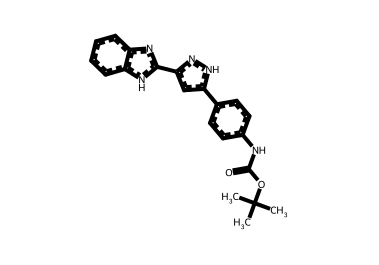 CC(C)(C)OC(=O)Nc1ccc(-c2cc(-c3nc4ccccc4[nH]3)n[nH]2)cc1